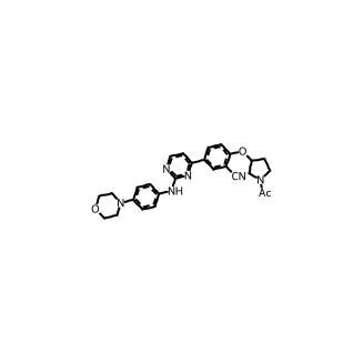 CC(=O)N1CCC(Oc2ccc(-c3ccnc(Nc4ccc(N5CCOCC5)cc4)n3)cc2C#N)C1